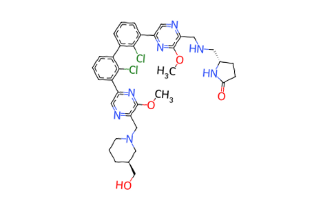 COc1nc(-c2cccc(-c3cccc(-c4cnc(CN5CCC[C@H](CO)C5)c(OC)n4)c3Cl)c2Cl)cnc1CNC[C@@H]1CCC(=O)N1